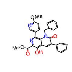 COC(=O)c1nc(-c2ccc(OC)nc2)c2c(cc(-c3ccccc3)c(=O)n2Cc2ccccc2)c1O